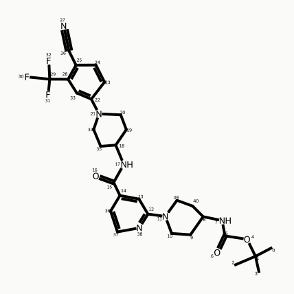 CC(C)(C)OC(=O)NC1CCN(c2cc(C(=O)NC3CCN(c4ccc(C#N)c(C(F)(F)F)c4)CC3)ccn2)CC1